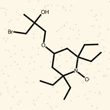 CCC1(CC)CC(OCC(C)(O)CBr)CC(CC)(CC)N1[O]